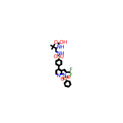 CC(C)(C)C(CNS(=O)(=O)c1ccc(-c2ccnc3c2cc(C(F)F)n3S(=O)(=O)c2ccccc2)cc1)NC(=O)O